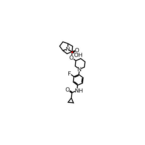 O=C(Nc1ccc(N2CCCC(OC(=O)N3C4CCC3CC(O)C4)C2)c(F)c1)C1CC1